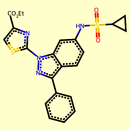 CCOC(=O)c1csc(-n2nc(-c3ccccc3)c3ccc(NS(=O)(=O)C4CC4)cc32)n1